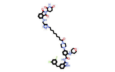 O=C1CCC(N2C(=O)c3cccc(NCc4cn(CCCCCCCCC(=O)N5CCN(c6ccc(C(=O)Nc7n[nH]c8ccc(Cc9cc(F)cc(F)c9)cc78)c(NC7CCOCC7)c6)CC5)nn4)c3C2=O)C(=O)N1